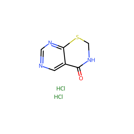 Cl.Cl.O=C1NCSc2ncncc21